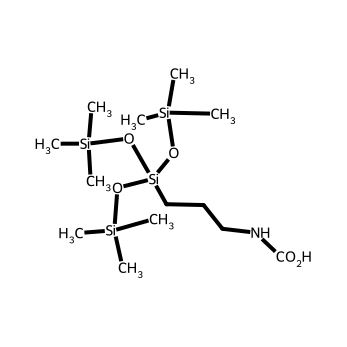 C[Si](C)(C)O[Si](CCCNC(=O)O)(O[Si](C)(C)C)O[Si](C)(C)C